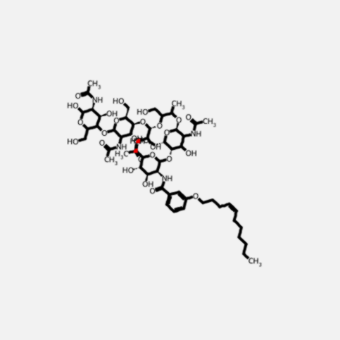 CCCCCC/C=C\CCCOc1cccc(C(=O)N[C@@H]2C(O[C@H]3C(O)C(NC(C)=O)[C@H](OC(C)C(CO)O[C@@H](O[C@H]4C(O)C(NC(C)=O)C(OC5C(CO)OC(O)[C@@H](NC(C)=O)[C@H]5O)O[C@H]4CO)C(O)NC(C)=O)O[C@H]3CO)OC(CO)[C@@H](O)[C@@H]2O)c1